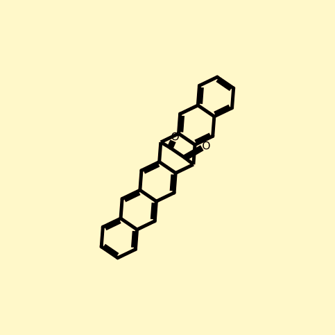 O=C1C(=O)C2c3cc4ccccc4cc3C1c1cc3cc4ccccc4cc3cc12